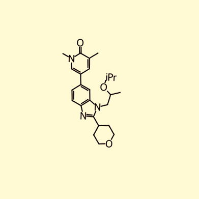 Cc1cc(-c2ccc3nc(C4CCOCC4)n(CC(C)OC(C)C)c3c2)cn(C)c1=O